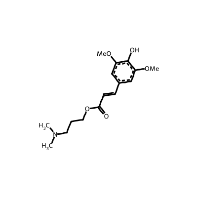 COc1cc(/C=C/C(=O)OCCCN(C)C)cc(OC)c1O